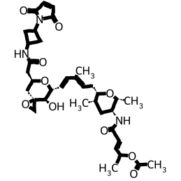 CC(=O)OC(C)C=CC(=O)N[C@@H]1C[C@H](C)[C@H](CC=C(C)C=C[C@H]2O[C@H](CC(=O)NC3CC(N4C(=O)C=CC4=O)C3)C[C@@]3(CO3)[C@@H]2O)O[C@@H]1C